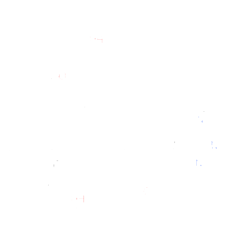 CCn1nnc2c(C)c([C@@H](CC(=O)O)c3ccc(C)c(CO)c3)cc(OC)c21